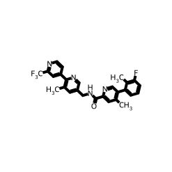 Cc1cc(C(=O)NCc2cnc(-c3ccnc(C(F)(F)F)c3)c(C)c2)ncc1-c1cccc(F)c1C